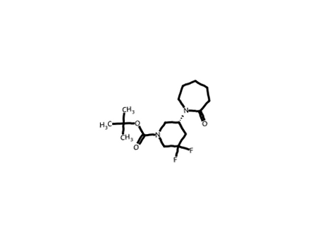 CC(C)(C)OC(=O)N1C[C@H](N2CCCCCC2=O)CC(F)(F)C1